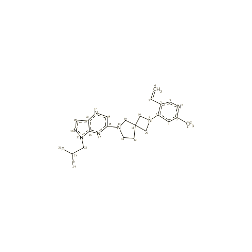 C=Cc1cnc(C(F)(F)F)cc1N1CC2(CCN(c3cnc4cnn(CC(F)F)c4n3)C2)C1